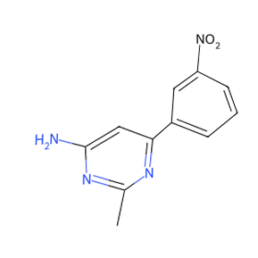 Cc1nc(N)cc(-c2cccc([N+](=O)[O-])c2)n1